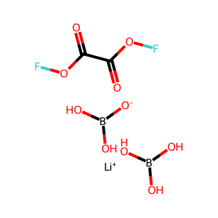 O=C(OF)C(=O)OF.OB(O)O.[Li+].[O-]B(O)O